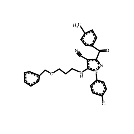 Cc1ccc(C(=O)c2nn(-c3ccc(Cl)cc3)c(NCCCOCc3ccccc3)c2C#N)cc1